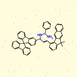 CC1(C)c2cc3ccccc3cc2-c2c(/C=C/C(NC(N)c3ccccc3)c3ccc4c(c3)-c3ccccc3C43c4ccccc4-c4ccccc43)cccc21